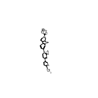 Cn1c2c(c3ccc(-n4ccc(-c5ccc(C(F)(F)F)nc5)cc4=O)cc31)CCN(C(=O)OC(C)(C)C)C2